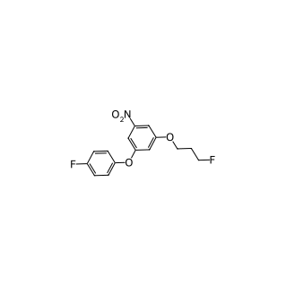 O=[N+]([O-])c1cc(OCCCF)cc(Oc2ccc(F)cc2)c1